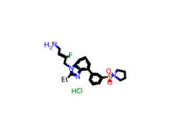 CCc1nc2c(-c3cccc(S(=O)(=O)N4CCCC4)c3)cccc2n1C/C(F)=C/CN.Cl